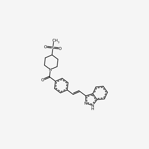 CS(=O)(=O)C1CCN(C(=O)c2ccc(C=Cc3n[nH]c4ccccc34)cc2)CC1